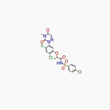 CC(Oc1cc(-n2ncc(=O)n(C)c2=O)c(F)cc1Cl)C(=O)NS(=O)(=O)c1ccc(Cl)cc1